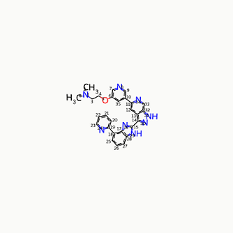 CN(C)CCOc1cncc(-c2cc3c(-c4nc5c(-c6ccccn6)cccc5[nH]4)n[nH]c3cn2)c1